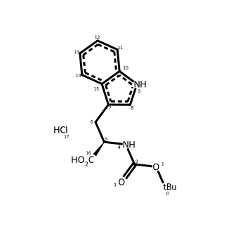 CC(C)(C)OC(=O)N[C@H](Cc1c[nH]c2ccccc12)C(=O)O.Cl